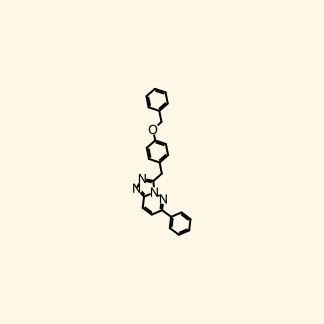 c1ccc(COc2ccc(Cc3nnc4ccc(-c5ccccc5)nn34)cc2)cc1